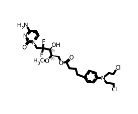 CO[C@H](COC(=O)CCCc1ccc(N(CCCl)CCCl)cc1)[C@H](O)C(F)(F)Cn1ccc(N)nc1=O